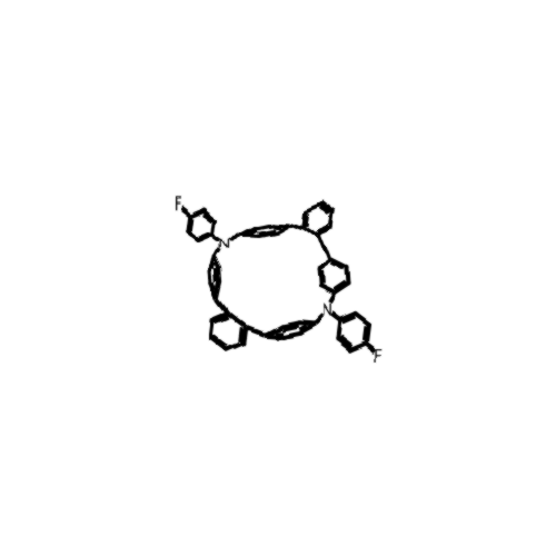 Fc1ccc(N2c3ccc(cc3)-c3ccccc3-c3ccc(cc3)N(c3ccc(F)cc3)c3ccc(cc3)-c3ccccc3-c3ccc2cc3)cc1